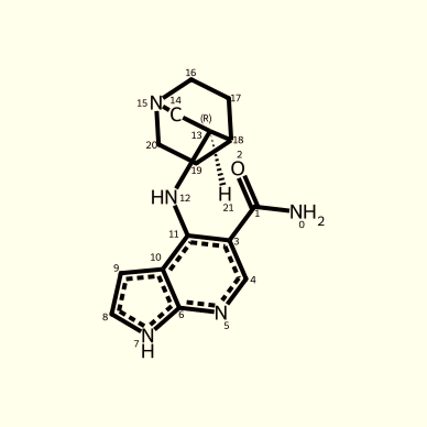 NC(=O)c1cnc2[nH]ccc2c1N[C@H]1CN2CCC1CC2